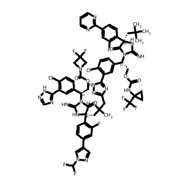 CC(C)(C)C[C@]1(c2ccc(-c3ncccn3)cc2F)NC(=N)N([C@H](COC(=O)NC2(C(F)(F)F)CC2)c2ccc(Cl)c(-c3nc(CC(C)(C)C[C@]4(c5ccc(-c6cnn(C(F)F)c6)cc5F)NC(=N)N([C@H](COC(=O)N5CC(F)(F)C5)c5ccc(Cl)c(-c6ncn[nH]6)c5)C4=O)n[nH]3)c2)C1=O